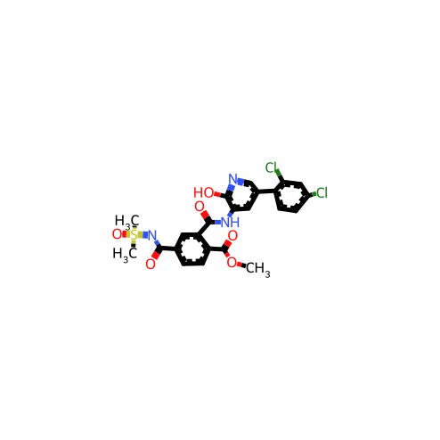 COC(=O)c1ccc(C(=O)N=S(C)(C)=O)cc1C(=O)Nc1cc(-c2ccc(Cl)cc2Cl)cnc1O